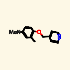 CNc1ccc(OCc2ccncc2)c(C)c1